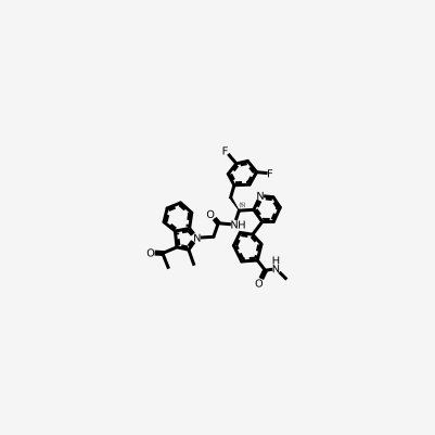 CNC(=O)c1cccc(-c2cccnc2[C@H](Cc2cc(F)cc(F)c2)NC(=O)Cn2c(C)c(C(C)=O)c3ccccc32)c1